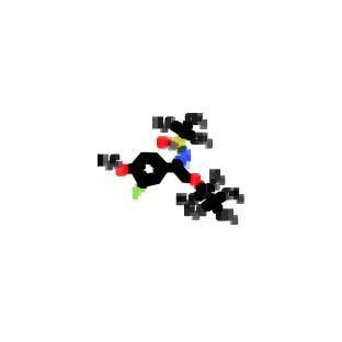 COc1ccc(/C(CO[Si](C)(C)C(C)(C)C)=N\[S@+]([O-])C(C)(C)C)cc1F